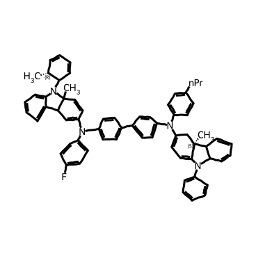 CCCc1ccc(N(C2=CC=C3N(c4ccccc4)C4C=CC=CC4[C@]3(C)C2)c2ccc(-c3ccc(N(C4=CC5c6ccccc6N(C6C=CC=C[C@H]6C)C5(C)C=C4)c4ccc(F)cc4)cc3)cc2)cc1